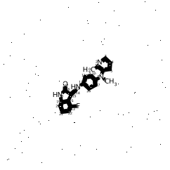 Cc1ncccc1N(C)c1ccc(NC=C2C(=O)Nc3cccc(F)c32)cc1